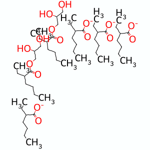 CCCCC(CC)C(=O)OCC(O)CO.CCCCC(CC)C(=O)OCC(O)CO.CCCCC(CC)C(=O)[O-].CCCCC(CC)C(=O)[O-].CCCCC(CC)C(=O)[O-].CCCCC(CC)C(=O)[O-].[C+4]